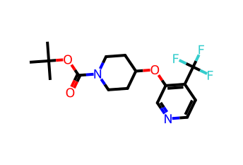 CC(C)(C)OC(=O)N1CCC(Oc2cnccc2C(F)(F)F)CC1